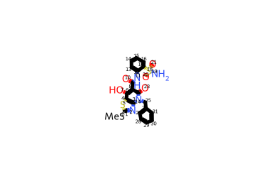 CSc1nc2c(s1)c(O)c(C(=O)Nc1ccccc1S(N)(=O)=O)c(=O)n2Cc1ccccc1